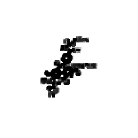 C=Cc1cc(C(=O)Nc2ccc(C(=N)NC(=O)OCCCCCC)cc2)c(-c2ccc(C(=O)NCCCCC)nc2C(=O)OCOC(=O)OC(C)C)cc1OC